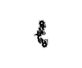 Cc1c(CN2CCN(c3ccccc3Cl)CC2)cc(C(=O)N2CCn3c(nc4ccccc43)C2)n1C